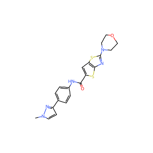 Cn1ccc(-c2ccc(NC(=O)c3cc4sc(N5CCOCC5)nc4s3)cc2)n1